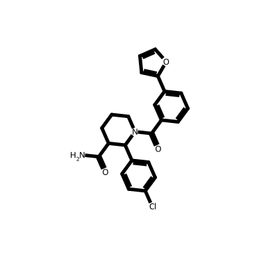 NC(=O)C1CCCN(C(=O)c2cccc(-c3ccco3)c2)C1c1ccc(Cl)cc1